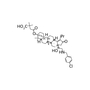 CC(C)C1=C2[C@H]3CC[C@@H]4[C@@]5(C)CC[C@H](OC(=O)CC(C)(C)C(=O)O)C(C)(C)[C@@H]5CC[C@@]4(C)[C@]3(C)CC[C@@]2([C@@H](O)CNCc2ccc(Cl)cc2)CC1=O